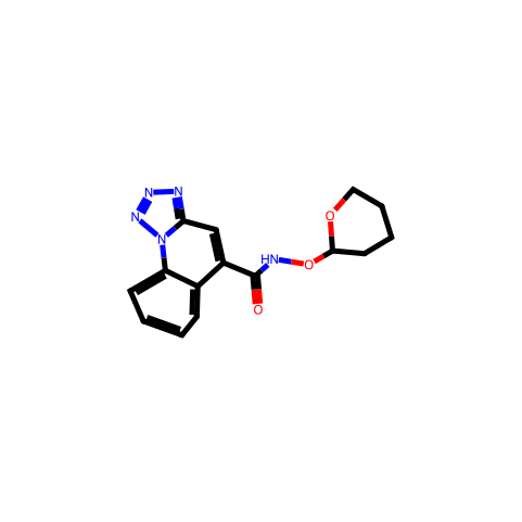 O=C(NOC1CCCCO1)c1cc2nnnn2c2ccccc12